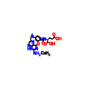 CN(Cc1cnc2[nH]c(N)nc(=O)c2n1)c1ccc(C(=O)N[C@@H](CCC(=O)O)C(=O)O)cc1.[CaH2]